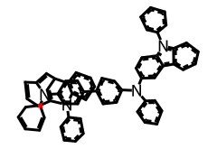 C1=CCC(N(C2=C\C3C=C(C/C=C\2)N(c2ccccc2)c2ccccc23)c2ccc(-c3ccc(N(c4ccccc4)c4ccc5c(c4)c4ccccc4n5-c4ccccc4)cc3)cc2)C=C1